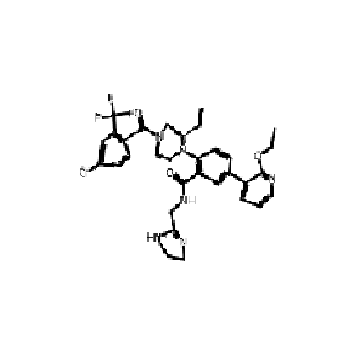 CCOc1ncccc1-c1ccc(N2CCN(C(=O)c3ccc(Cl)cc3C(F)(F)F)C[C@H]2CC)c(C(=O)NCC2=NCCN2)c1